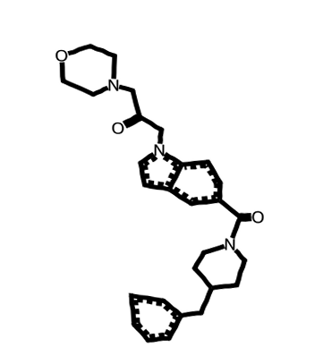 O=C(CN1CCOCC1)Cn1ccc2cc(C(=O)N3CCC(Cc4ccccc4)CC3)ccc21